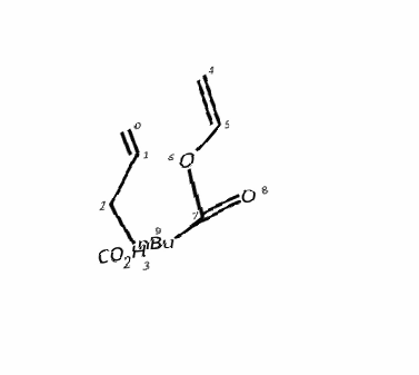 C=CCC(=O)O.C=COC(=O)CCCC